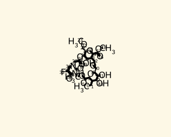 CCC1C(C(=O)OC)O[C@@H](COCC2C(C(=O)OC)O[C@H](COC)C(OC(=O)Cn3cc(F)c(=O)[nH]c3=O)[C@@H]2O)C(O)[C@@H]1O